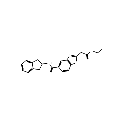 CCOC(=O)Cc1nc2cc(C(=O)NC3Cc4ccccc4C3)ccc2o1